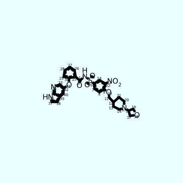 O=C(NS(=O)(=O)c1ccc(OCC2CCN(C3COC3)CC2)c([N+](=O)[O-])c1)c1ccccc1Oc1cnc2[nH]ccc2c1